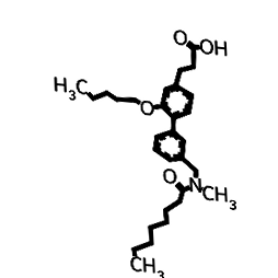 CCCCCCCC(=O)N(C)Cc1cccc(-c2ccc(CCC(=O)O)cc2OCCCCC)c1